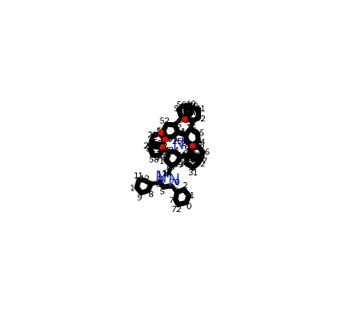 c1ccc(-c2cc(-c3ccccc3)nc(-c3cc(-c4ccccc4)c(-n4c5c(-c6ccccc6)ccc(-c6ccccc6)c5c5c(-c6ccccc6)ccc(-c6ccccc6)c54)c(-c4ccccc4)c3)n2)cc1